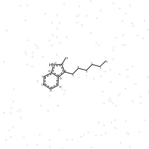 CCCCCCc1c(C)[nH]c2ccccc12